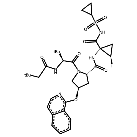 CC(C)(C)CC(=O)N[C@H](C(=O)N1C[C@H](Oc2nccc3ccccc23)C[C@H]1C(=O)N[C@]1(C(=O)NS(=O)(=O)C2CC2)C[C@H]1I)C(C)(C)C